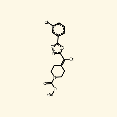 CCC(=C1CCN(C(=O)OC(C)(C)C)CC1)c1noc(-c2cccc(Cl)c2)n1